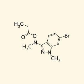 CCC(=O)ON(C)c1nn(C)c2cc(Br)ccc12